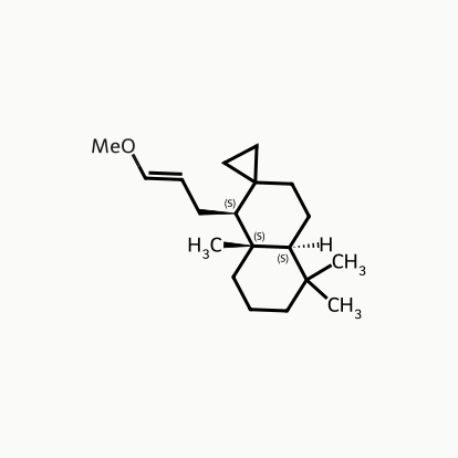 COC=CC[C@H]1C2(CC[C@H]3C(C)(C)CCC[C@@]31C)CC2